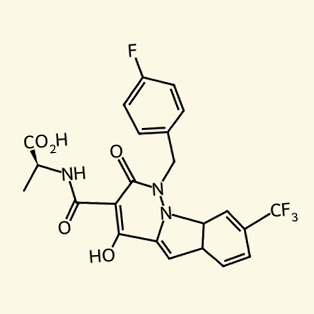 C[C@H](NC(=O)C1=C(O)C2=CC3C=CC(C(F)(F)F)=CC3N2N(Cc2ccc(F)cc2)C1=O)C(=O)O